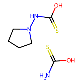 NC(O)=S.OC(=S)NN1CCCC1